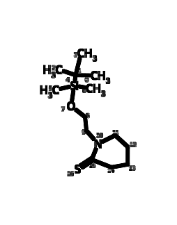 CC(C)(C)[Si](C)(C)OCCN1CCCCC1=S